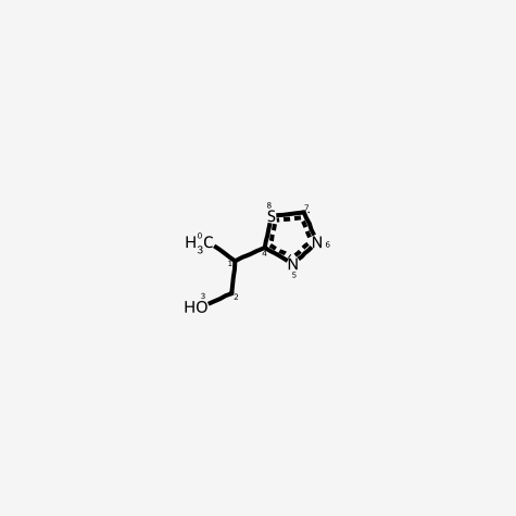 CC(CO)c1nn[c]s1